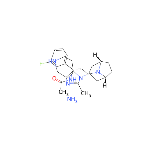 CC(=O)N[C@@H](CCN1[C@@H]2CC[C@H]1C[C@@H](n1c(C)nc3c1CCNC3)C2)c1cccc(F)c1.N